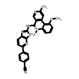 COc1cccc(OC)c1-c1cc(C)ncc1C(=O)Nc1nc2ccc(-c3ccc(C#N)cc3)nc2s1